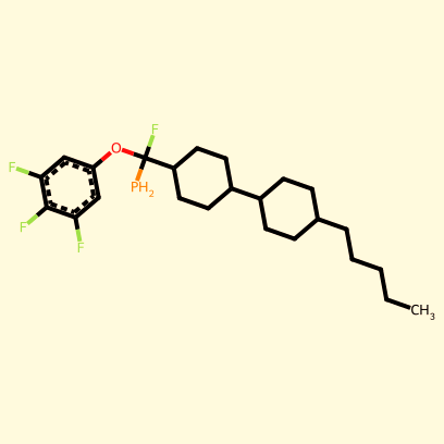 CCCCCC1CCC(C2CCC(C(F)(P)Oc3cc(F)c(F)c(F)c3)CC2)CC1